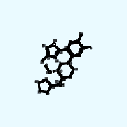 CO[C@@H]1CN(c2nc(C)c(C)cc2-c2nc(C)no2)CCC1NC1CCCC1